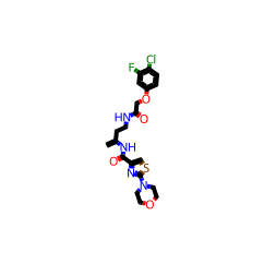 C=C(CCNC(=O)COc1ccc(Cl)c(F)c1)NC(=O)c1csc(N2CCOCC2)n1